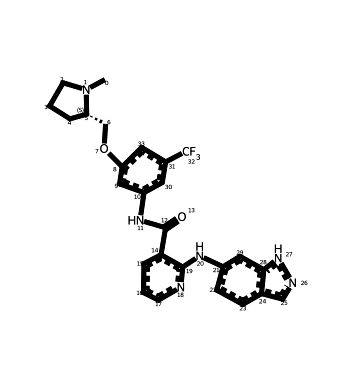 CN1CCC[C@H]1COc1cc(NC(=O)c2cccnc2Nc2ccc3cn[nH]c3c2)cc(C(F)(F)F)c1